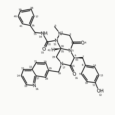 CN1CC(=O)N2[C@@H](Cc3ccc(O)cc3)C(=O)N(Cc3ccc4cccnc4c3)C[C@@H]2N1C(=O)NCc1ccccc1